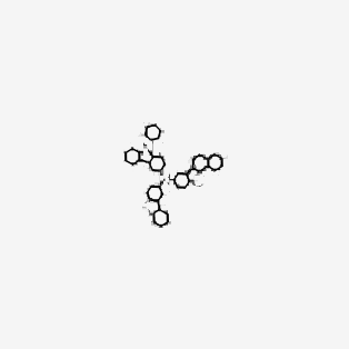 c1ccc(-n2c3ccccc3c3cc(N(c4ccc5oc6c7ccccc7ccc6c5c4)c4ccc5sc6ccccc6c5c4)ccc32)cc1